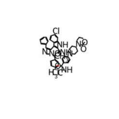 CNC(=O)c1ccc(N2CCC(N3CCCOC3=O)CC2)c(NC(=O)c2[nH]c3cc(Cl)ccc3c2-c2c(-c3ccccc3)ncn2C(C)c2ccc(Cl)cc2)c1